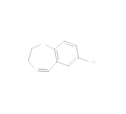 Cc1ccc2c(c1)C=NCCO2